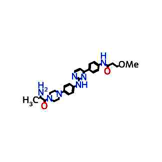 COCCC(=O)Nc1ccc(-c2ccnc(Nc3ccc(N4CCN(C(=O)[C@@H](C)N)CC4)cc3)n2)cc1